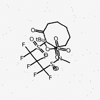 CN(S(=O)(=O)OC(C)(C)C)S(=O)(=O)C(F)(F)C(F)(F)C(F)(F)S(=O)(=O)C1C(=O)CCCCCC1=O